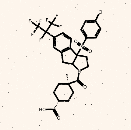 C[C@]1(C(=O)N2CCC3(S(=O)(=O)c4ccc(Cl)cc4)c4ccc(C(F)(C(F)(F)F)C(F)(F)F)cc4CC23)CC[C@H](C(=O)O)CC1